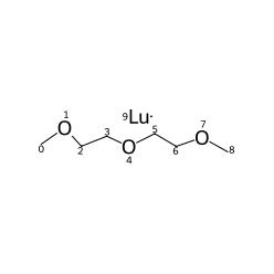 COCCOCCOC.[Lu]